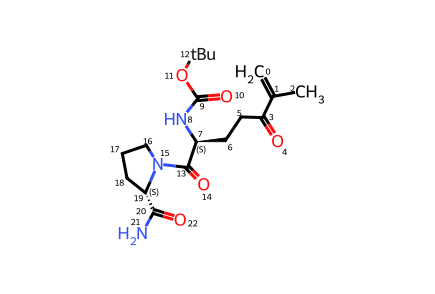 C=C(C)C(=O)CC[C@H](NC(=O)OC(C)(C)C)C(=O)N1CCC[C@H]1C(N)=O